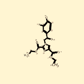 CCOC(=O)c1cn(CC(=O)c2ccc(Cl)c(F)c2)c(C(=O)OCC)n1